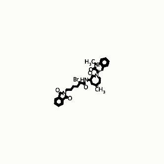 CNC(=O)[C@H](Cc1ccccc1)N1CC[C@H](C)CC(NC(=O)C(Br)CCCCN2C(=O)c3ccccc3C2=O)C1=O